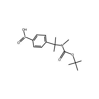 CN(C(=O)OC(C)(C)C)C(C)(C)c1ccc(S(=O)O)cc1